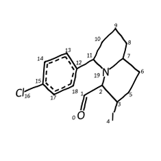 O=CC1C(I)CCC2CCCC(c3ccc(Cl)cc3)N21